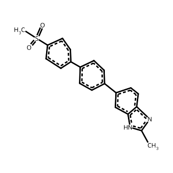 Cc1nc2ccc(-c3ccc(-c4ccc(S(C)(=O)=O)cc4)cc3)cc2[nH]1